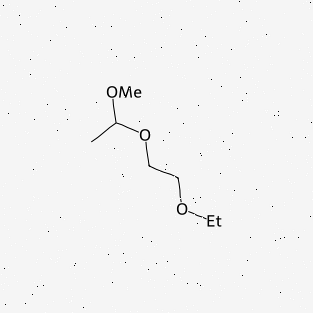 CCOCCOC(C)OC